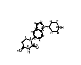 O=C1CCN(c2ccc3c(ccn3C3CCNCC3)c2)C(=O)N1